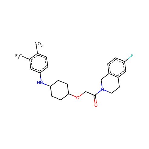 O=C(COC1CCC(Nc2ccc([N+](=O)[O-])c(C(F)(F)F)c2)CC1)N1CCc2cc(F)ccc2C1